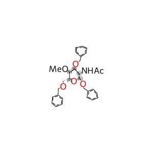 CO[C@H]1[C@H](OCc2ccccc2)[C@H](NC(C)=O)[C@@H](OCc2ccccc2)O[C@@H]1COCc1ccccc1